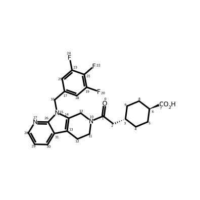 O=C(C[C@H]1CC[C@H](C(=O)O)CC1)N1CCc2c(n(Cc3cc(F)c(F)c(F)c3)c3ncccc23)C1